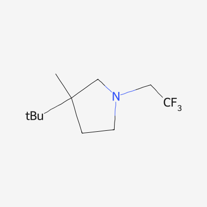 CC(C)(C)C1(C)CCN(CC(F)(F)F)C1